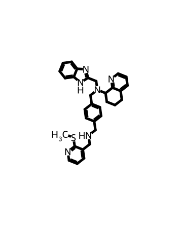 CSc1ncccc1CNCc1ccc(CN(Cc2nc3ccccc3[nH]2)C2CCCc3cccnc32)cc1